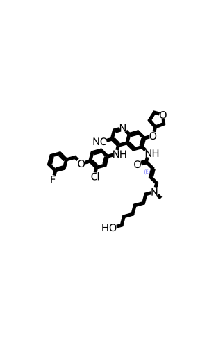 CN(C/C=C/C(=O)Nc1cc2c(Nc3ccc(OCc4cccc(F)c4)c(Cl)c3)c(C#N)cnc2cc1OC1CCOC1)CCCCCCO